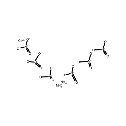 O=[N+]([O-])[O-].O=[N+]([O-])[O-].O=[N+]([O-])[O-].O=[N+]([O-])[O-].O=[N+]([O-])[O-].O=[N+]([O-])[O-].[Ce+4].[NH4+].[NH4+]